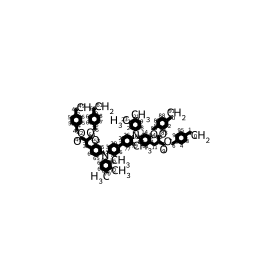 C=Cc1ccc(COC(=O)C(Cc2ccc(N(c3ccc(C)c(C)c3)c3ccc(-c4ccc(N(c5ccc(CC(C(=O)OCc6ccc(C=C)cc6)C(=O)OCc6ccc(C=C)cc6)cc5)c5ccc(C)c(C)c5)c(C)c4)cc3C)cc2)C(=O)OCc2ccc(C=C)cc2)cc1